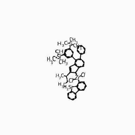 CCC(C)C1=Cc2c(ccc(-c3ccccc3)c2-c2cc([Si](C)(C)C)cc([Si](C)(C)C)c2)[CH]1[Zr]([Cl])([Cl])[c]1cccc2c1[SiH2]c1ccccc1-2